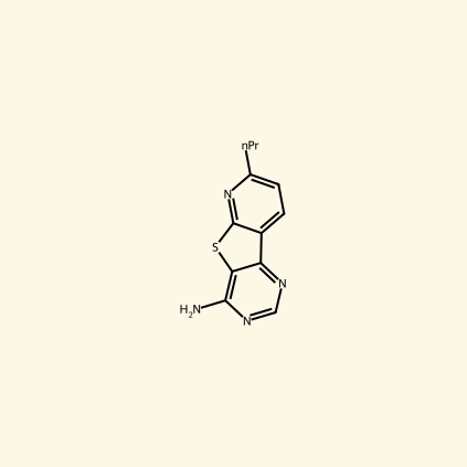 CCCc1ccc2c(n1)sc1c(N)ncnc12